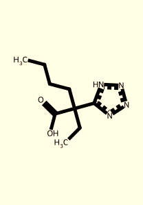 CCCCC(CC)(C(=O)O)c1nnn[nH]1